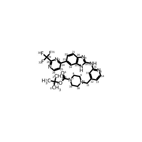 CC(C)(C)OC(=O)N1CCN(Cc2ccnc(Nc3nc4ccc(-c5ccnc(C(F)(F)F)n5)cc4[nH]3)c2)CC1